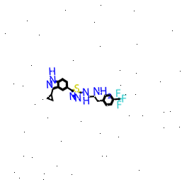 NC(CNc1nnc(-c2ccc3[nH]nc(C4CC4)c3c2)s1)Cc1ccc(C(F)(F)F)cc1